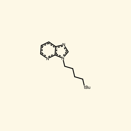 CC(C)(C)CCCCn1cnc2cccnc21